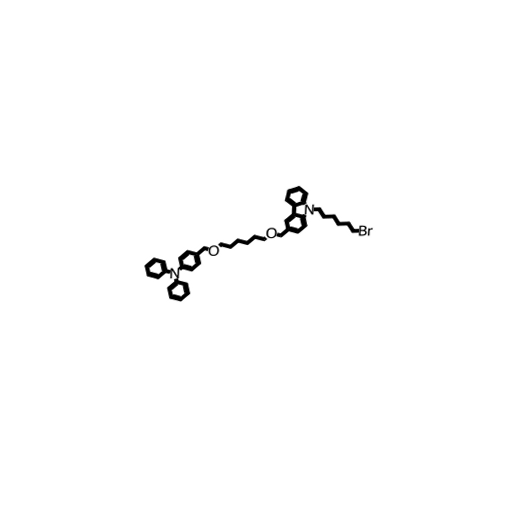 BrCCCCCCn1c2ccccc2c2cc(COCCCCCCOCc3ccc(N(c4ccccc4)c4ccccc4)cc3)ccc21